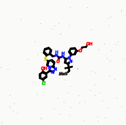 CSCC(C)(C)c1cc(NC(=O)NCc2ccccc2Sc2ccc3nnc(-c4cc(Cl)ccc4O)n3c2)n(-c2cccc(OCCO)c2)n1